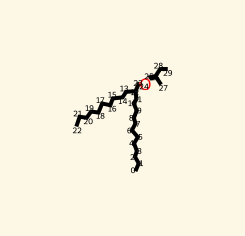 CCCCCCCCCCCCC(CCCCCCCCCC)CO/C=C(\C)CC